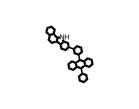 c1ccc(-c2c3ccccc3c(-c3cccc(-c4ccc5c(c4)[nH]c4c6ccccc6ccc54)c3)c3ccccc23)cc1